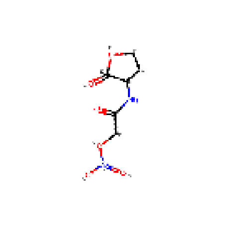 O=C(CO[N+](=O)[O-])NC1CCOC1=O